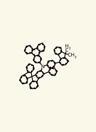 CC1(C)c2ccccc2-c2c(-c3ccc(N(c4ccc5c6ccccc6c6ccccc6c5c4)c4cc5c(cc4-c4ccccc4)-c4ccccc4C54c5ccccc5-c5ccccc54)cc3)cccc21